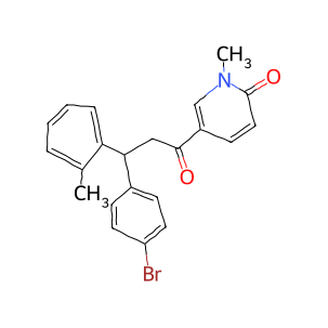 Cc1ccccc1C(CC(=O)c1ccc(=O)n(C)c1)c1ccc(Br)cc1